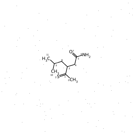 CC(=S)C(CC(N)=O)CC(C)C